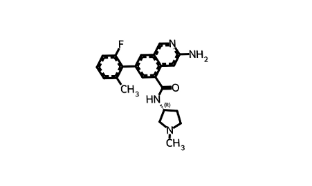 Cc1cccc(F)c1-c1cc(C(=O)N[C@@H]2CCN(C)C2)c2cc(N)ncc2c1